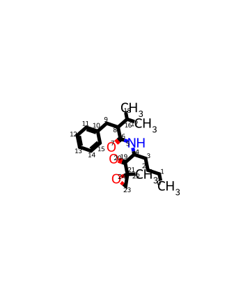 CCCCC(NC(=O)C(Cc1ccccc1)C(C)C)C(=O)C1(C)CO1